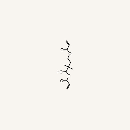 C=CC(=O)OCCC(C)(C)C(O)OC(=O)C=C